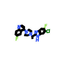 CC(c1nc2cc(F)c(Cl)cc2[nH]1)N1CCN(c2ccnc3ccc(F)cc23)CC1